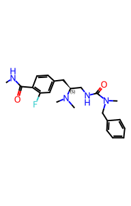 CNC(=O)c1ccc(C[C@@H](CNC(=O)N(C)Cc2ccccc2)N(C)C)cc1F